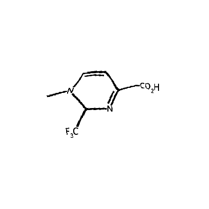 CN1C=CC(C(=O)O)=NC1C(F)(F)F